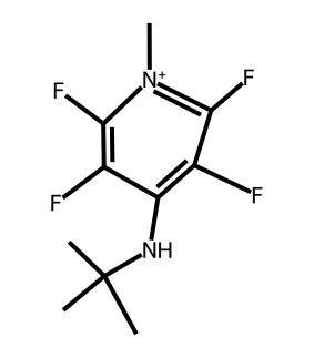 C[n+]1c(F)c(F)c(NC(C)(C)C)c(F)c1F